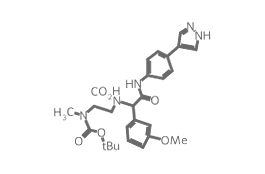 COc1cccc(C(C(=O)Nc2ccc(-c3cn[nH]c3)cc2)N(CCN(C)C(=O)OC(C)(C)C)C(=O)O)c1